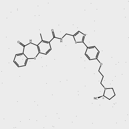 Cc1c(C(=O)NCc2cnc(-c3ccc(OCCCN4CCC[C@H]4C#N)cc3)s2)ccc2c1NC(=O)c1ccccc1S2